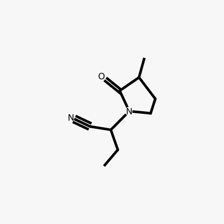 CCC(C#N)N1CCC(C)C1=O